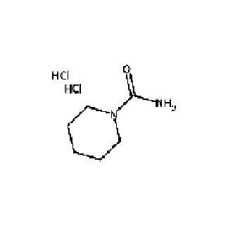 Cl.Cl.NC(=O)N1C[CH]CCC1